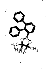 CC1(C)OB(c2cccc(-c3ccccc3)c2-c2ccccc2)OC1(C)C